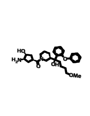 COCCCC[C@@](O)(c1ccccc1Oc1ccccc1)[C@@H]1CCCN(C(=O)[C@H]2C[C@@H](N)[C@H](O)C2)C1